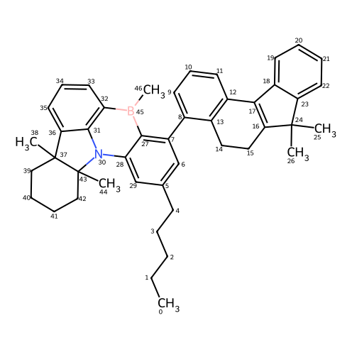 CCCCCc1cc(-c2cccc3c2CCC2=C3c3ccccc3C2(C)C)c2c(c1)N1c3c(cccc3C3(C)CCCCC13C)B2C